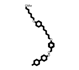 COCCCCCCOC1CCC(CCCCCCOc2ccc(COOC3CCC(C4CCC(C)CC4)CC3)cc2)CC1